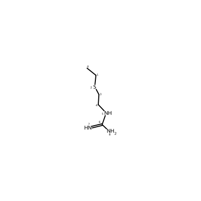 CCSCCNC(=N)N